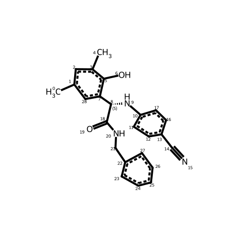 Cc1cc(C)c(O)c([C@H](Nc2ccc(C#N)cc2)C(=O)NCc2ccccc2)c1